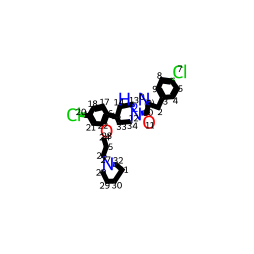 N[C@H](Cc1ccc(Cl)cc1)C(=O)N1CCC(c2ccc(Cl)cc2OCCCN2CCCCC2)CC1